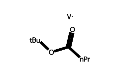 CCCC(=O)OC(C)(C)C.[V]